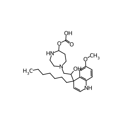 CCCCCCCC1(C(O)CN2CCNC(OC(=O)O)CC2)C=CNc2ccc(OC)cc21